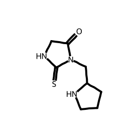 O=C1CNC(=S)N1CC1CCCN1